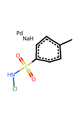 Cc1ccc(S(=O)(=O)NCl)cc1.[NaH].[Pd]